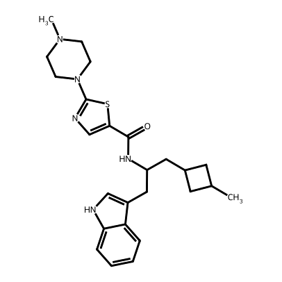 CC1CC(CC(Cc2c[nH]c3ccccc23)NC(=O)c2cnc(N3CCN(C)CC3)s2)C1